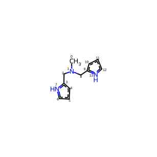 CN(Cc1ccc[nH]1)Cc1ccc[nH]1